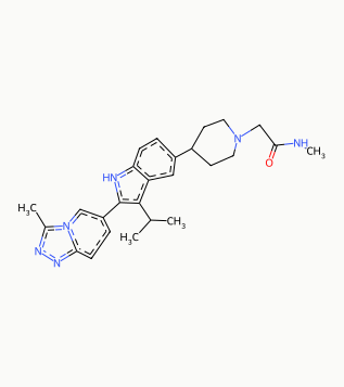 CNC(=O)CN1CCC(c2ccc3[nH]c(-c4ccc5nnc(C)n5c4)c(C(C)C)c3c2)CC1